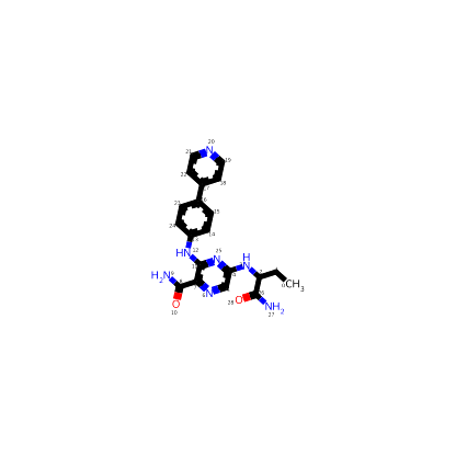 CCC(Nc1cnc(C(N)=O)c(Nc2ccc(-c3ccncc3)cc2)n1)C(N)=O